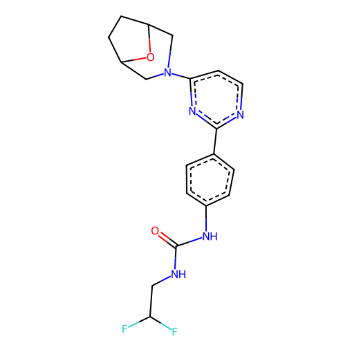 O=C(NCC(F)F)Nc1ccc(-c2nccc(N3CC4CCC(C3)O4)n2)cc1